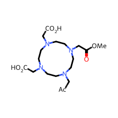 COC(=O)CN1CCN(CC(C)=O)CCN(CC(=O)O)CCN(CC(=O)O)CC1